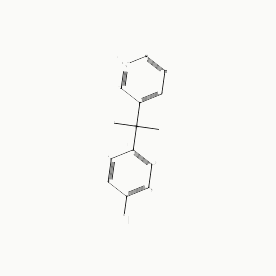 [CH2]C(C)(c1ccc(Cl)cc1)c1cccnc1